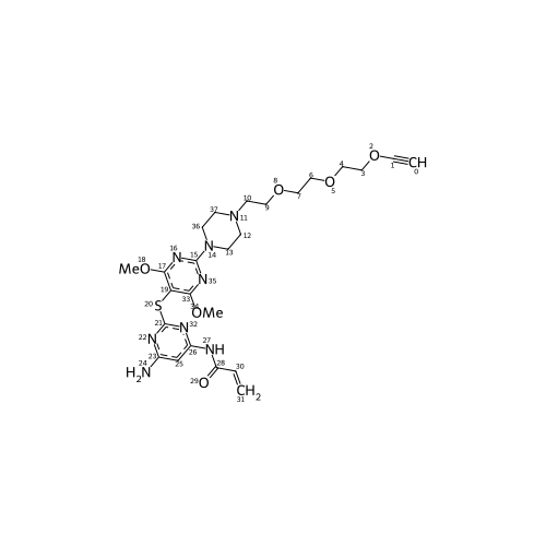 C#COCCOCCOCCN1CCN(c2nc(OC)c(Sc3nc(N)cc(NC(=O)C=C)n3)c(OC)n2)CC1